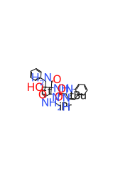 CCC(O)(Cc1ccccc1)C(NC(=O)c1ccc2ccccc2n1)(C(N)=O)C(C(N)=O)N(CC(C)C)C(=O)NC(C)(C)C